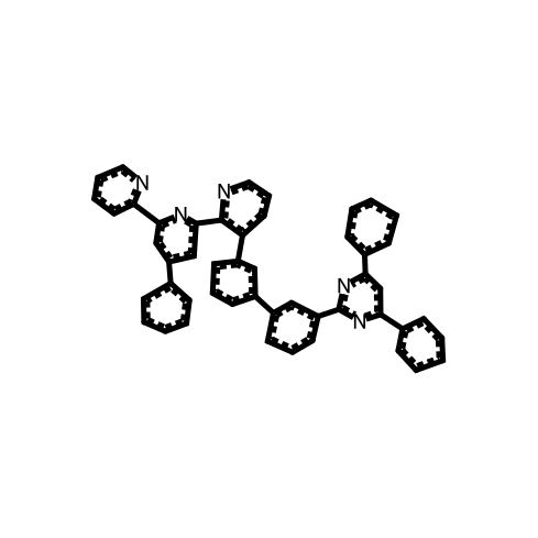 c1ccc(-c2cc(-c3ccccn3)nc(-c3ncccc3-c3cccc(-c4cccc(-c5nc(-c6ccccc6)cc(-c6ccccc6)n5)c4)c3)c2)cc1